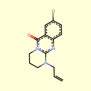 C=CCN1CCCn2c1nc1ccc(Cl)cc1c2=O